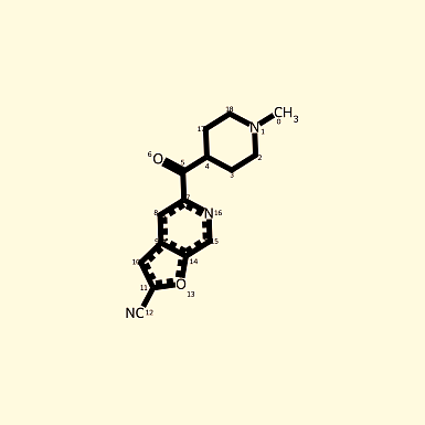 CN1CCC(C(=O)c2cc3cc(C#N)oc3cn2)CC1